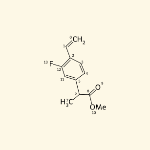 C=Cc1ccc(C(C)C(=O)OC)cc1F